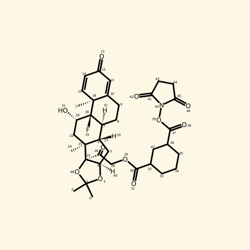 CC1(C)O[C@@H]2C[C@H]3[C@@H]4CCC5=CC(=O)C=C[C@]5(C)[C@@]4(F)[C@@H](O)C[C@]3(C)[C@]2(C(=O)COC(=O)C2CCCC(C(=O)ON3C(=O)CCC3=O)C2)O1